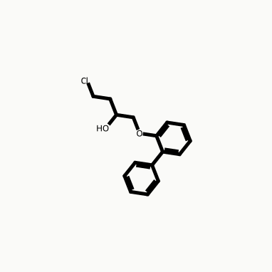 OC(CCCl)COc1ccccc1-c1ccccc1